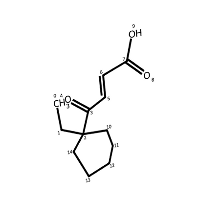 CCC1(C(=O)C=CC(=O)O)CCCCC1